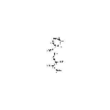 COC(=O)C(Cl)=NOC(=O)c1ccccc1